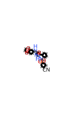 N#Cc1ccc(S(=O)(=O)Nc2ccccc2-c2nnc(Nc3ccc4c(c3)OCCO4)o2)cc1